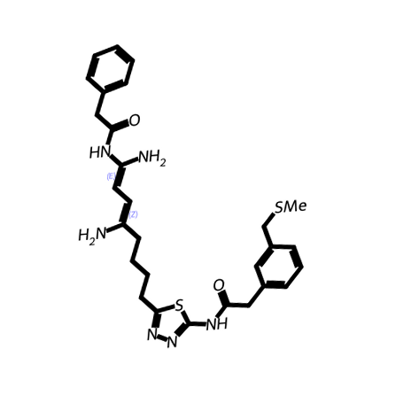 CSCc1cccc(CC(=O)Nc2nnc(CCCC/C(N)=C/C=C(\N)NC(=O)Cc3ccccc3)s2)c1